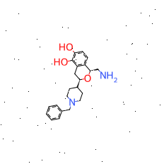 NC[C@H]1O[C@@H](C2CCN(Cc3ccccc3)CC2)Cc2c1ccc(O)c2O